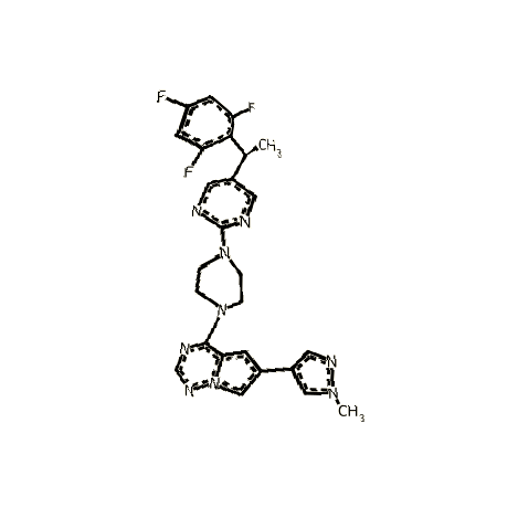 C[C@@H](c1cnc(N2CCN(c3ncnn4cc(-c5cnn(C)c5)cc34)CC2)nc1)c1c(F)cc(F)cc1F